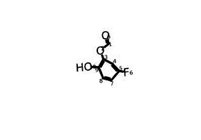 O=COc1cc(F)ccc1O